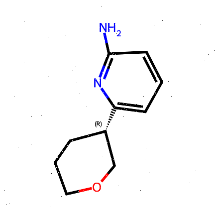 Nc1cccc([C@H]2CCCOC2)n1